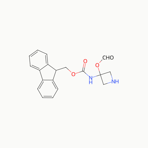 O=COC1(NC(=O)OCC2c3ccccc3-c3ccccc32)CNC1